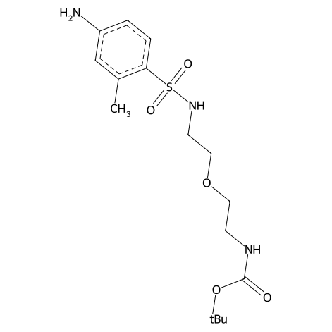 Cc1cc(N)ccc1S(=O)(=O)NCCOCCNC(=O)OC(C)(C)C